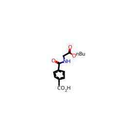 CCCCOC(=O)CNC(=O)c1ccc(C(=O)O)cc1